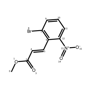 COC(=O)/C=C/c1c(Br)cccc1[N+](=O)[O-]